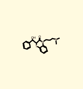 CN(C)CCCN1C(=O)C(C(O)c2ccccc2)Sc2ccccc21